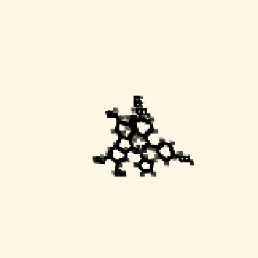 CC(C)(C)c1cc2c(cc1C(C)(C)C)[CH]([Zr+2]([C]1=CC=CC1)=[C](c1ccc(C(Cl)(Cl)Cl)cc1)c1ccc(C(Cl)(Cl)Cl)cc1)c1cc(C(C)(C)C)c(C(C)(C)C)cc1-2.[Cl-].[Cl-]